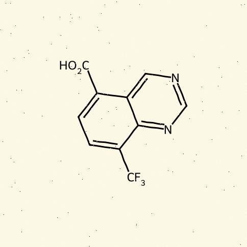 O=C(O)c1ccc(C(F)(F)F)c2ncncc12